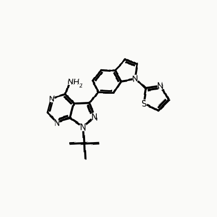 CC(C)(C)n1nc(-c2ccc3ccn(-c4nccs4)c3c2)c2c(N)ncnc21